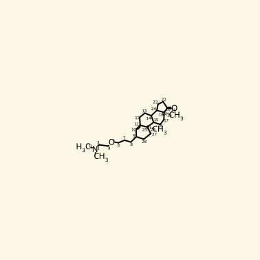 CN(C)CCOCCCC1C=C2CCC3C(CC[C@]4(C)C(=O)CCC34)[C@@]2(C)CC1